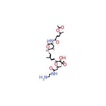 CC(=O)O[C@@H](C)C=CC(=O)N[C@@H]1C[C@H](C)[C@H](CC=C(C)C=C[C@H]2O[C@H](CC(=O)NCCN)C[C@@]3(CO3)[C@@H]2O)O[C@@H]1C